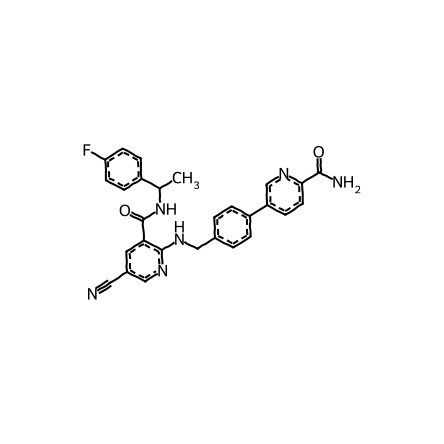 CC(NC(=O)c1cc(C#N)cnc1NCc1ccc(-c2ccc(C(N)=O)nc2)cc1)c1ccc(F)cc1